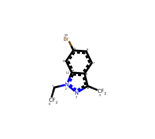 FC(F)(F)Cn1nc(C(F)(F)F)c2ccc(Br)cc21